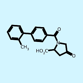 Cc1ccccc1-c1ccc(C(=O)N2CC(=O)CC2C(=O)O)cc1